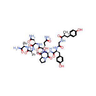 CCC(C)[C@H](NC(=O)[C@@H](NC(=O)[C@H](CC(N)=O)NC(=O)[C@H](CCC(N)=O)NC(=O)[C@@H]1CCCN1C(=O)[C@@H](NC(=O)[C@H](Cc1ccc(O)cc1)NC(=O)CNC(=O)[C@@H](C)Cc1ccc(O)cc1)C(C)O)C(C)C)C(N)=O